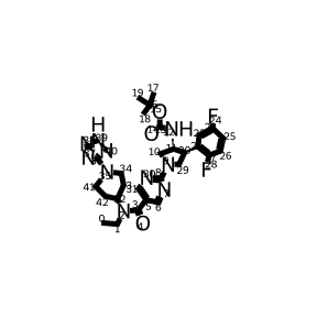 CCN(C(=O)c1cnc(N2C[C@H](NC(=O)OC(C)(C)C)[C@@H](c3cc(F)ccc3F)C2)nc1)C1CCN(c2nn[nH]n2)CC1